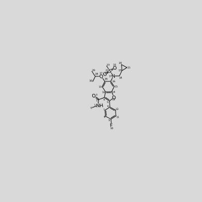 CNC(=O)c1c(-c2ccc(F)cc2)oc2cc(N(CC3CC3)S(C)(=O)=O)c(OC(C)C)cc12